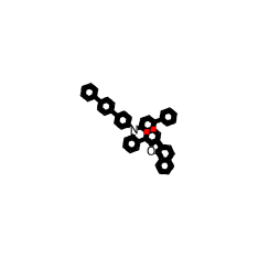 c1ccc(-c2ccc(-c3ccc(N(c4ccc(-c5ccccc5)cc4)c4ccccc4-c4cccc5c4oc4c6ccccc6ccc54)cc3)cc2)cc1